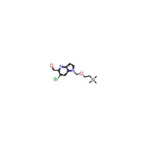 C[Si](C)(C)CCOCn1ccc2nc(C=O)c(Br)cc21